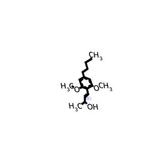 CCCCCc1cc(OC)c(/C=C/C(C)O)c(OC)c1